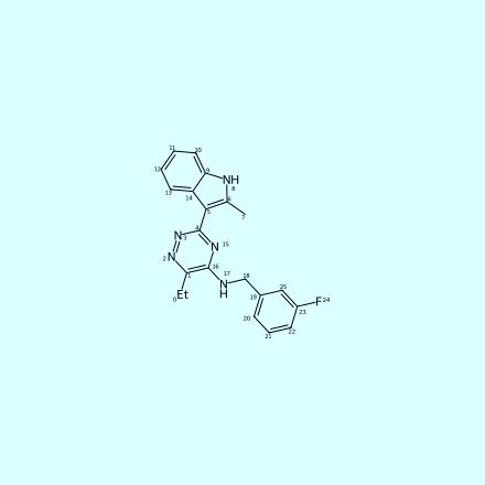 CCc1nnc(-c2c(C)[nH]c3ccccc23)nc1NCc1cccc(F)c1